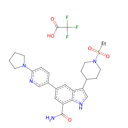 CCS(=O)(=O)N1CCC(c2c[nH]c3c(C(N)=O)cc(-c4ccc(N5CCCC5)nc4)cc23)CC1.O=C(O)C(F)(F)F